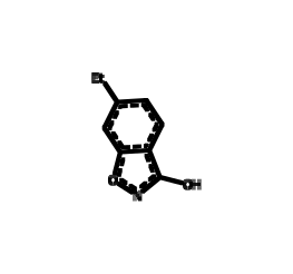 CCc1ccc2c(O)noc2c1